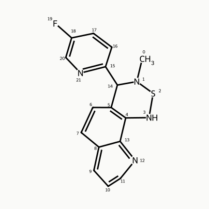 CN1SNc2c(ccc3cccnc23)C1c1ccc(F)cn1